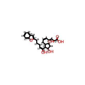 O=C(O)CCC/C=C\CC1C(/C(O)=C\CCCc2cc3ccccc3o2)[C@H](O)C[C@@H]1O